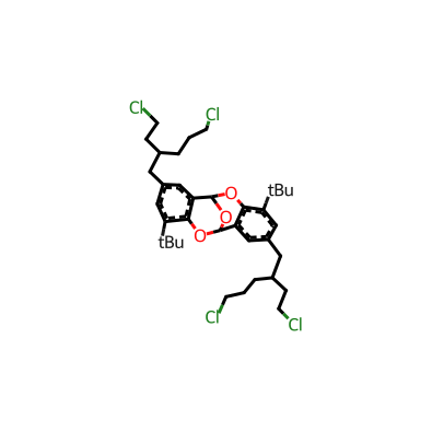 CC(C)(C)c1cc(CC(CCCl)CCCCl)cc2c1OC1OC2Oc2c1cc(CC(CCCl)CCCCl)cc2C(C)(C)C